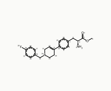 COC(=O)[C@@H](N)Cc1ccc(C2=CCN(Cc3ccc(F)cc3)CC2)cc1